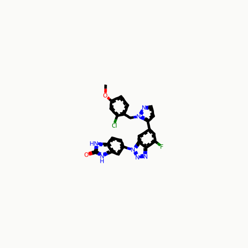 COc1ccc(Cn2nccc2-c2cc(F)c3nnn(-c4ccc5[nH]c(=O)[nH]c5c4)c3c2)c(Cl)c1